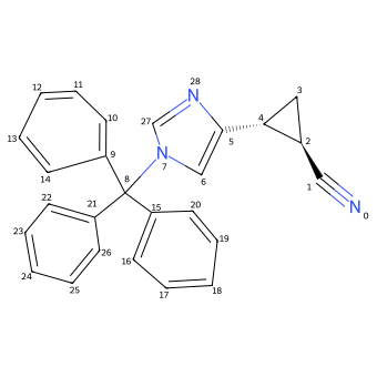 N#C[C@@H]1C[C@H]1c1cn(C(c2ccccc2)(c2ccccc2)c2ccccc2)cn1